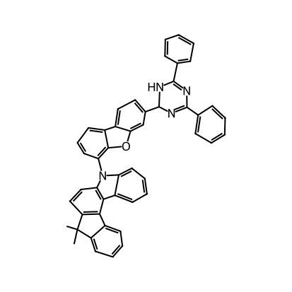 CC1(C)c2ccccc2-c2c1ccc1c2c2ccccc2n1-c1cccc2c1oc1cc(C3N=C(c4ccccc4)N=C(c4ccccc4)N3)ccc12